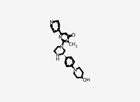 Cn1c(N2CCN[C@@H](c3ccc(N4CCC(O)CC4)cc3)C2)nc(-c2ccncc2)cc1=O